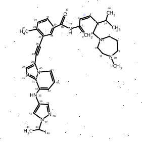 C=C(/C=C\C(CN1CCCN(C)CC1)C(C)C)NC(=O)c1ccc(C)c(C#Cc2cnc3c(Nc4cnn(C(C)I)c4)cccn23)c1